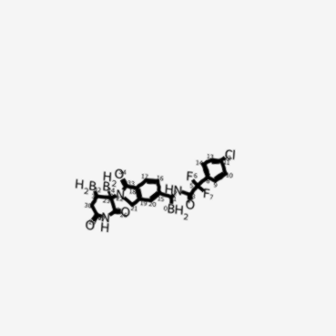 BC(NC(=O)C(F)(F)c1ccc(Cl)cc1)c1ccc2c(c1)CN([C@]1(B)C(=O)NC(=O)CC1B)C2=O